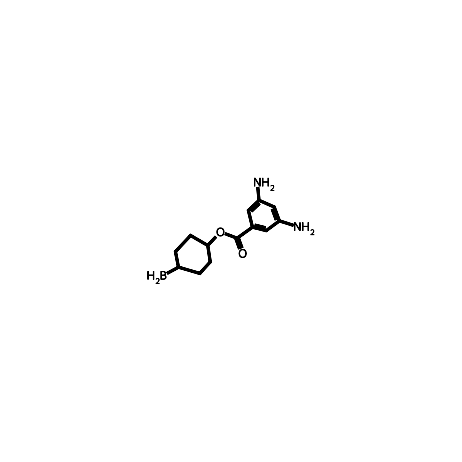 BC1CCC(OC(=O)c2cc(N)cc(N)c2)CC1